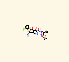 CC(C)(C)OC(=O)C(CNC(=O)c1ncc2c(c1O)=CCC(C#N)(Oc1c(F)cccc1F)C=2)C1CC1